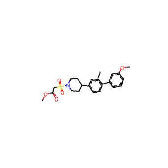 COC(=O)CS(=O)(=O)N1CCC(c2ccc(-c3cccc(OC)c3)c(C)c2)CC1